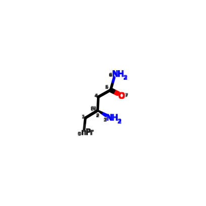 CCCC[C@H](N)CC(N)=O